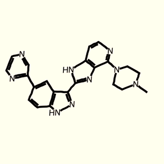 CN1CCN(c2nccc3[nH]c(-c4n[nH]c5ccc(-c6cnccn6)cc45)nc23)CC1